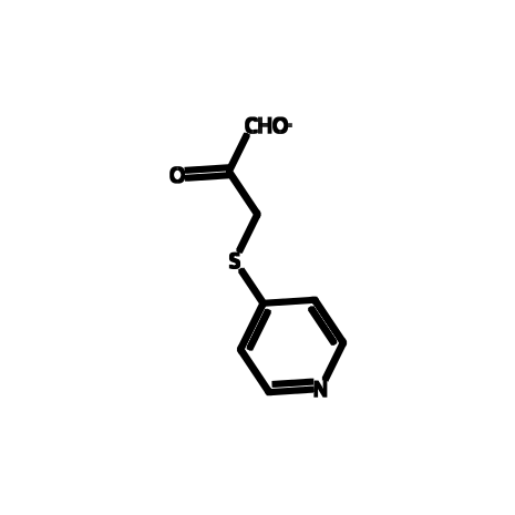 O=[C]C(=O)CSc1ccncc1